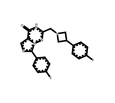 O=c1[nH]c(CN2CC(c3ccc(F)cc3)C2)nn2c(-c3ccc(F)cc3)ncc12